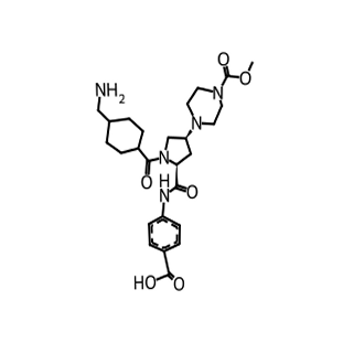 COC(=O)N1CCN([C@H]2C[C@@H](C(=O)Nc3ccc(C(=O)O)cc3)N(C(=O)C3CCC(CN)CC3)C2)CC1